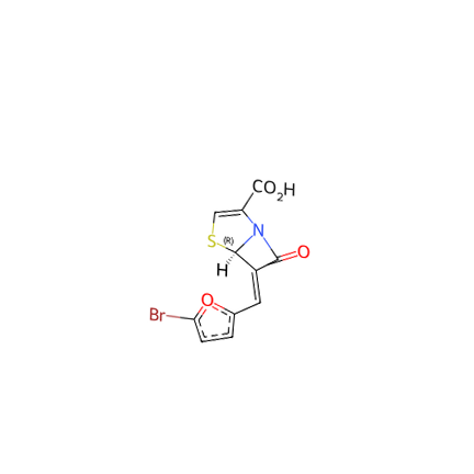 O=C(O)C1=CS[C@@H]2C(=Cc3ccc(Br)o3)C(=O)N12